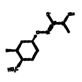 C[C@H]1C[C@H](O/N=[N+](\[O-])N(C)C(C)(C)C)CC[C@H]1C(=O)O